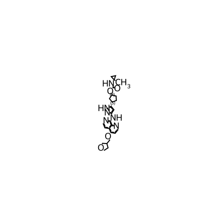 CC1(NC(=O)O[C@@H]2CC[C@H](c3cc(Nc4nccc5c(OCC6CCOC6)ccnc45)n[nH]3)C2)CC1